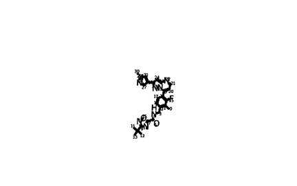 Cc1c(CNC(=O)c2nc(C(C)(C)C)no2)ccc(-c2ccnc3cc(-c4cnn(C)c4)nn23)c1F